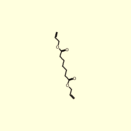 C=CCOC(=O)CCCCCC(=O)OCC=C